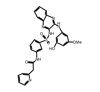 COc1cc(O)cc(Nc2nc3ccccc3nc2NS(=O)(=O)c2cccc(NC(=O)Cc3ccccn3)c2)c1